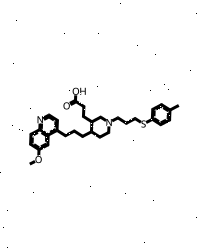 COc1ccc2nccc(CCCC3CCN(CCCSc4ccc(C)cc4)CC3CCC(=O)O)c2c1